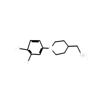 NCC1CCN(c2ccc(Cl)c(Cl)c2)CC1